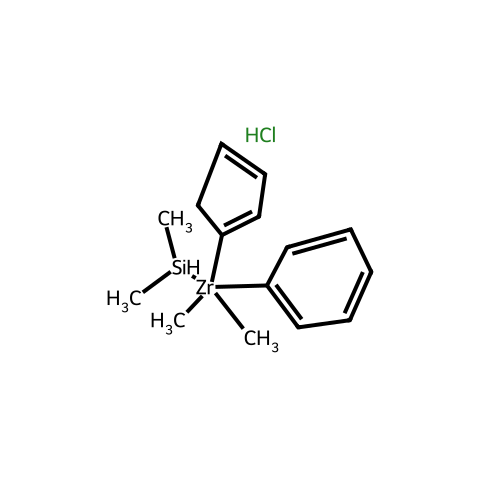 C[SiH](C)[Zr]([CH3])([CH3])([C]1=CC=CC1)[c]1ccccc1.Cl